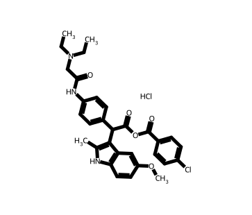 CCN(CC)CC(=O)Nc1ccc(C(C(=O)OC(=O)c2ccc(Cl)cc2)c2c(C)[nH]c3ccc(OC)cc23)cc1.Cl